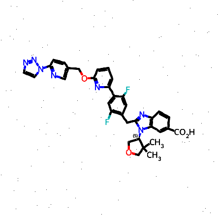 CC1(C)COC[C@H]1n1c(Cc2cc(F)c(-c3cccc(OCc4ccc(-n5ccnn5)nc4)n3)cc2F)nc2ccc(C(=O)O)cc21